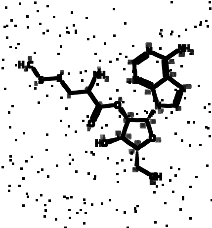 CSSCC(N)C(=O)O[C@@H]1[C@H](O)[C@@H](CO)O[C@H]1n1cnc2c(N)ncnc21